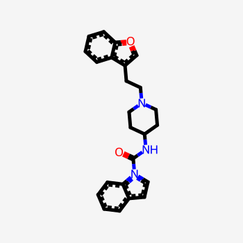 O=C(NC1CCN(CCc2coc3ccccc23)CC1)n1ccc2ccccc21